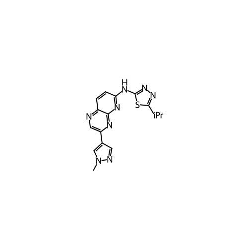 CC(C)c1nnc(Nc2ccc3ncc(-c4cnn(C)c4)nc3n2)s1